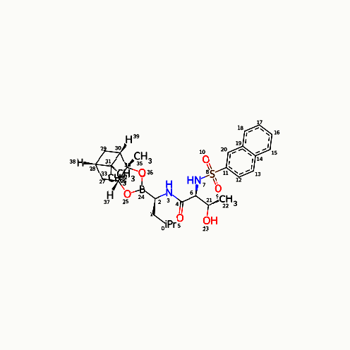 CC(C)C[C@H](NC(=O)[C@@H](NS(=O)(=O)c1ccc2ccccc2c1)[C@@H](C)O)B1O[C@@H]2C[C@@H]3C[C@@H](C3(C)C)[C@]2(C)O1